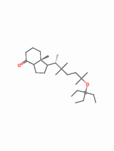 CC[Si](CC)(CC)OC(C)(C)CCC(C)(C)[C@@H](C)C1CCC2C(=O)CCC[C@@]21C